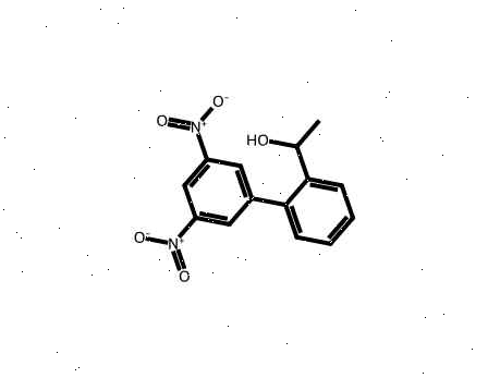 CC(O)c1ccccc1-c1cc([N+](=O)[O-])cc([N+](=O)[O-])c1